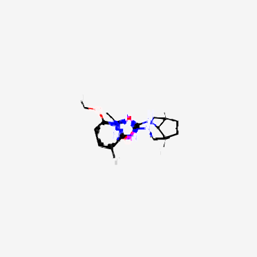 Cc1noc(N2C[C@H]3CC[C@@H](C2)[C@@H]3Nc2nc3c(C(C)C)ccc(OCC(F)(F)F)n3n2)n1